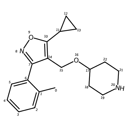 Cc1ccccc1-c1noc(C2CC2)c1COC1CCNCC1